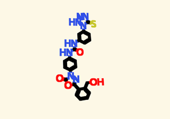 O=C(Nc1ccc(-n2nc(-c3ccccc3CO)oc2=O)cc1)Nc1cccc(-n2[nH]nnc2=S)c1